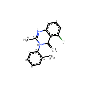 C=C1c2c(Cl)cccc2N=C(C)N1c1ccccc1C